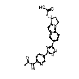 CC(=O)Nc1ccc(-c2nc(-c3ccc4c(c3)cc3n4CC[C@H]3CC(=O)O)no2)cn1